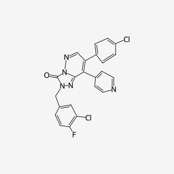 O=c1n(Cc2ccc(F)c(Cl)c2)nc2c(-c3ccncc3)c(-c3ccc(Cl)cc3)cnn12